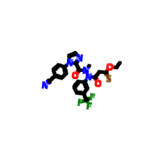 CCOC(=S)CC(=O)N(c1cccc(C(F)(F)F)c1)N(C)C(=O)c1nccn1-c1ccc(C#N)cc1